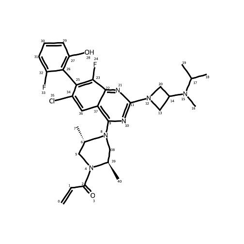 C=CC(=O)N1C[C@H](C)N(c2nc(N3CC(N(C)C(C)C)C3)nc3c(F)c(-c4c(O)cccc4F)c(Cl)cc23)C[C@H]1C